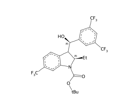 CC[C@@H]1C([C@@H](O)c2cc(C(F)(F)F)cc(C(F)(F)F)c2)c2ccc(C(F)(F)F)cc2N1C(=O)OC(C)(C)C